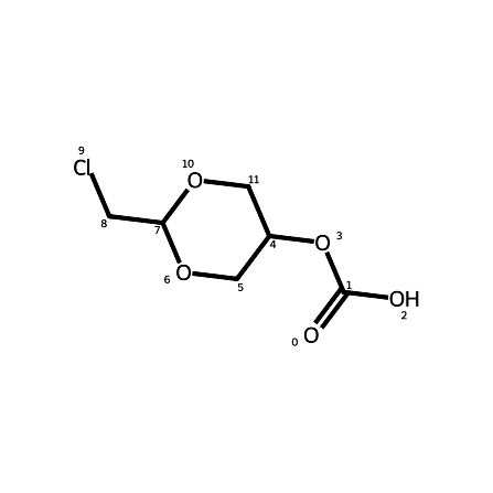 O=C(O)OC1COC(CCl)OC1